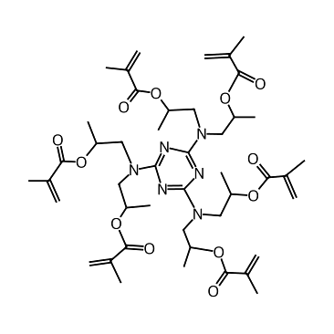 C=C(C)C(=O)OC(C)CN(CC(C)OC(=O)C(=C)C)c1nc(N(CC(C)OC(=O)C(=C)C)CC(C)OC(=O)C(=C)C)nc(N(CC(C)OC(=O)C(=C)C)CC(C)OC(=O)C(=C)C)n1